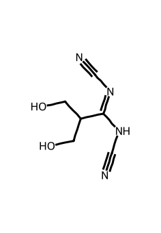 N#C/N=C(/NC#N)C(CO)CO